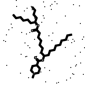 CCCCCCCCCC(CCCCCCC(=O)OC(CCCC)CCCCCC)OC(=O)C1CCN(C)CC1